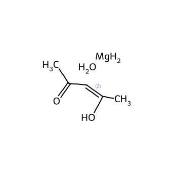 CC(=O)/C=C(/C)O.O.[MgH2]